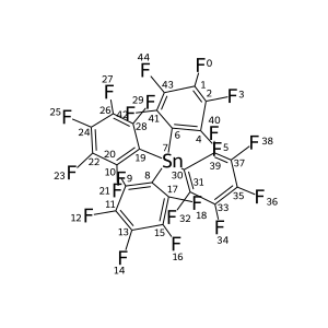 Fc1c(F)c(F)[c]([Sn]([c]2c(F)c(F)c(F)c(F)c2F)([c]2c(F)c(F)c(F)c(F)c2F)[c]2c(F)c(F)c(F)c(F)c2F)c(F)c1F